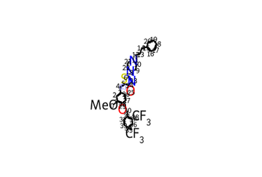 COc1cc(/C=C2/SC(N3CCN(CCCc4ccccc4)CC3)=NC2=O)ccc1OCc1ccc(C(F)(F)F)cc1C(F)(F)F